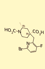 C[C@@H]1C[C@](Cc2nc(Br)ccc2F)(C(=O)O)CCN1C(=O)O